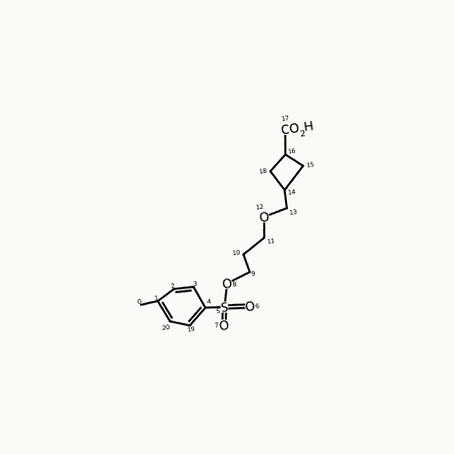 Cc1ccc(S(=O)(=O)OCCCOCC2CC(C(=O)O)C2)cc1